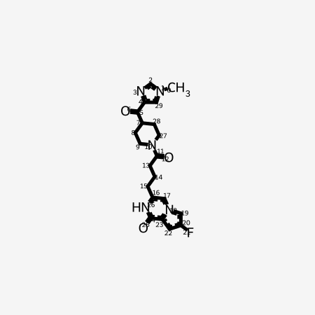 Cn1cnc(C(=O)C2CCN(C(=O)CCCc3cn4cc(F)cc4c(=O)[nH]3)CC2)c1